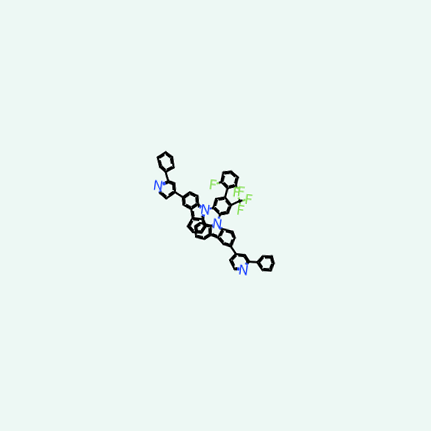 Fc1cccc(F)c1-c1cc(-n2c3ccccc3c3cc(-c4ccnc(-c5ccccc5)c4)ccc32)c(-n2c3ccccc3c3cc(-c4ccnc(-c5ccccc5)c4)ccc32)cc1C(F)(F)F